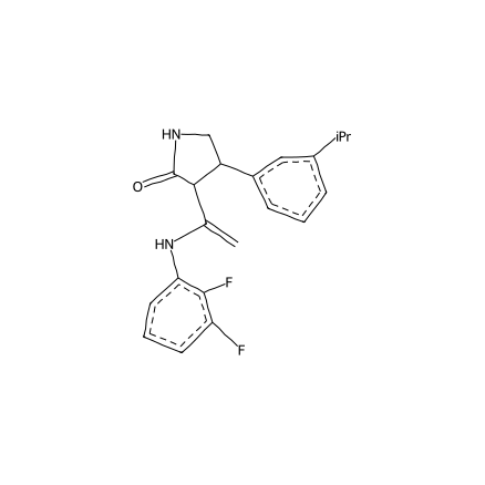 C=C(Nc1cccc(F)c1F)C1C(=O)NCC1c1cccc(C(C)C)c1